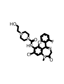 CN1C(=O)CN=C(c2ccccc2F)c2c1cc(Cl)c(NC(=O)N1CCN(CCO)CC1)c2Cl